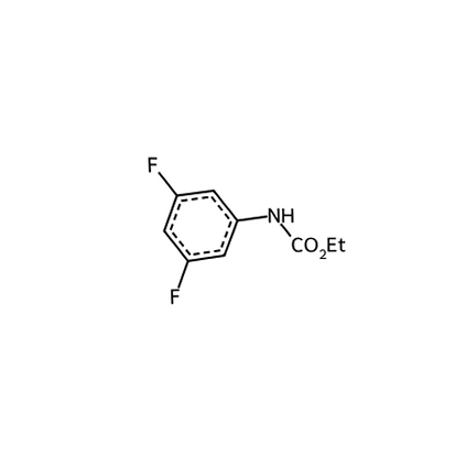 CCOC(=O)Nc1cc(F)cc(F)c1